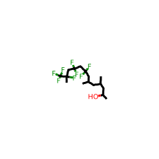 CC(O)CC(C)CC(C)CC(F)(F)CC(F)(F)CC(C)(F)C(F)(F)F